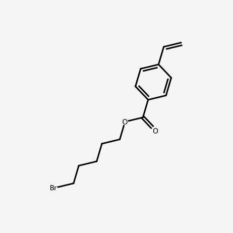 C=Cc1ccc(C(=O)OCCCCCBr)cc1